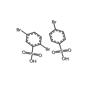 O=S(=O)(O)c1cc(Br)ccc1Br.O=S(=O)(O)c1ccc(Br)cc1